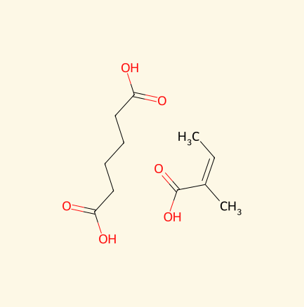 CC=C(C)C(=O)O.O=C(O)CCCCC(=O)O